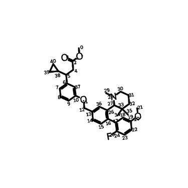 COC(=O)CC(c1cccc(OCc2ccc(-c3cc(OC)ccc3F)c(C3N(C)CCCC3(C)C)c2)c1)C1CC1